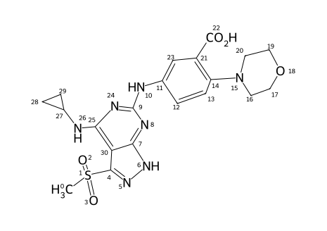 CS(=O)(=O)c1n[nH]c2nc(Nc3ccc(N4CCOCC4)c(C(=O)O)c3)nc(NC3CC3)c12